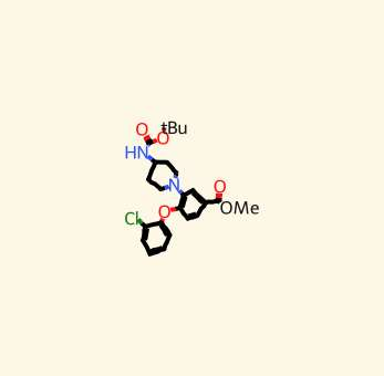 COC(=O)c1ccc(Oc2ccccc2Cl)c(N2CCC(NC(=O)OC(C)(C)C)CC2)c1